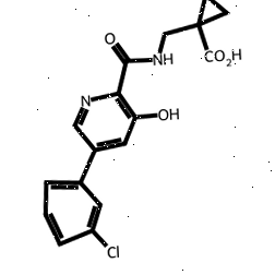 O=C(NCC1(C(=O)O)CC1)c1ncc(-c2cccc(Cl)c2)cc1O